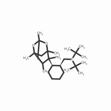 CC12CC3(C)OC(C)(CC(C)(O1)C3(P)[C@@H]1CCCC[C@@H]1CP(C(C)(C)C)C(C)(C)C)O2